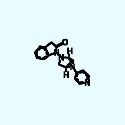 O=C1Cc2ccccc2N1N1C[C@@H]2C[C@H]1CN2c1ccncc1